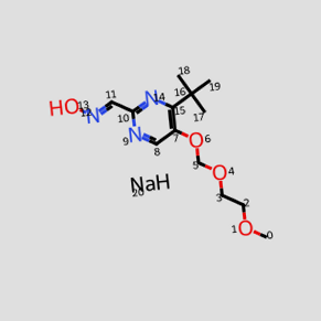 COCCOCOc1cnc(/C=N/O)nc1C(C)(C)C.[NaH]